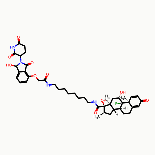 C[C@@H]1C[C@H]2[C@@H]3CCC4=CC(=O)C=C[C@]4(C)[C@@]3(F)[C@@H](O)C[C@]2(C)[C@@]1(O)C(=O)NCCCCCCCCNC(=O)COc1cccc2c1C(=O)N(C1CCC(=O)NC1=O)C2O